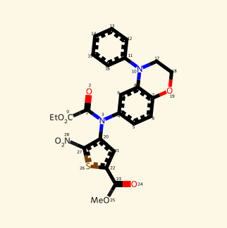 CCOC(=O)C(=O)N(c1ccc2c(c1)N(c1ccccc1)CCO2)c1cc(C(=O)OC)sc1[N+](=O)[O-]